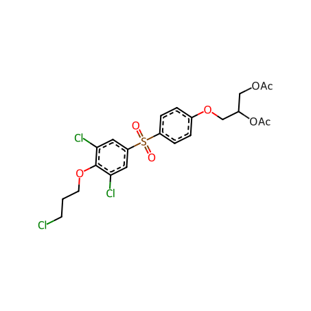 CC(=O)OCC(COc1ccc(S(=O)(=O)c2cc(Cl)c(OCCCCl)c(Cl)c2)cc1)OC(C)=O